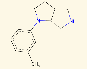 Cc1cccc(N2CCC3CNCC32)c1